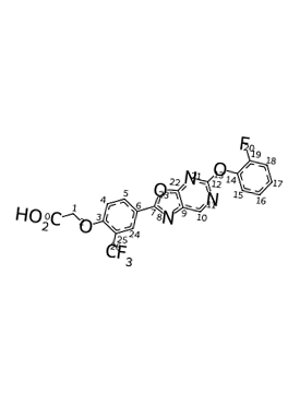 O=C(O)COc1ccc(-c2nc3cnc(Oc4ccccc4F)nc3o2)cc1C(F)(F)F